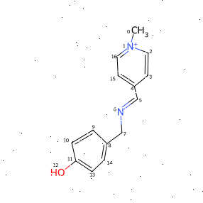 C[n+]1ccc(C=NCc2ccc(O)cc2)cc1